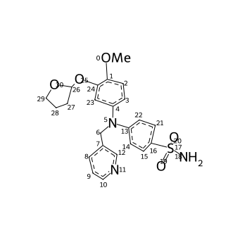 COc1ccc(N(Cc2cccnc2)c2ccc(S(N)(=O)=O)cc2)cc1OC1CCCO1